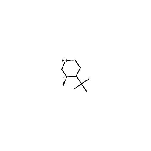 C[C@H]1CNCCC1C(C)(C)C